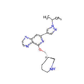 CC(C)n1cc(-c2cc3nccnc3c(OC[C@H]3CCCNC3)n2)cn1